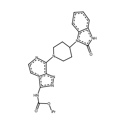 CC(C)OC(=O)Nc1nnc2c(N3CCC(n4c(=O)[nH]c5ccccc54)CC3)nccn12